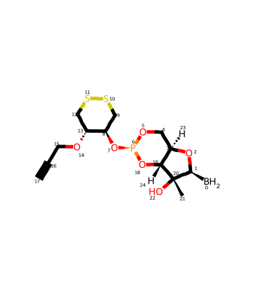 B[C@@H]1O[C@@H]2CO[P@](O[C@@H]3CSSC[C@H]3OCC#C)O[C@H]2[C@@]1(C)O